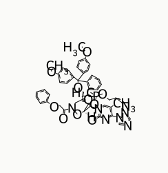 COc1ccc(C(OC[C@]23CN(C(=O)COc4ccccc4)O[C@@H](C2OP(C)OCCC#N)[C@H](n2cc(C)c(-n4cncn4)nc2=O)O3)(c2ccccc2)c2ccc(OC)cc2)cc1